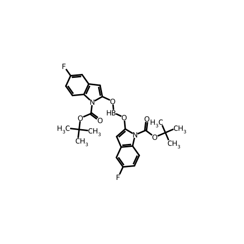 CC(C)(C)OC(=O)n1c(OBOc2cc3cc(F)ccc3n2C(=O)OC(C)(C)C)cc2cc(F)ccc21